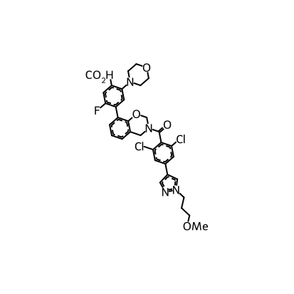 COCCCn1cc(-c2cc(Cl)c(C(=O)N3COc4c(cccc4-c4cc(N5CCOCC5)c(C(=O)O)cc4F)C3)c(Cl)c2)cn1